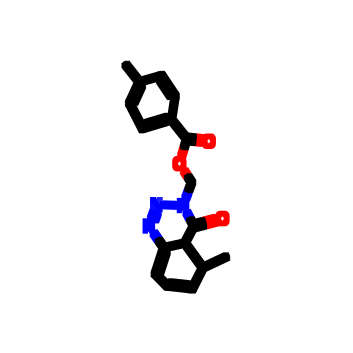 Cc1ccc(C(=O)OCN2N=NC3=CC=CC(C)C3C2=O)cc1